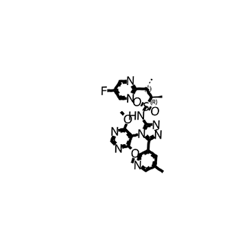 COc1ncnc(OC)c1-n1c(NS(=O)(=O)[C@H](C)[C@@H](C)c2ncc(F)cn2)nnc1-c1cncc(C)c1